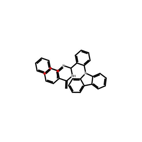 C=C(NC(/N=C(\C)c1ccccc1)c1ccccc1-n1c2ccccc2c2ccccc21)c1ccccc1